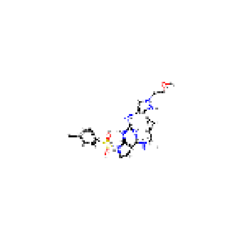 COCCn1cc(Nc2nc(N[C@@H](C)C3CC3)c3ccn(S(=O)(=O)c4ccc(C)cc4)c3n2)cn1